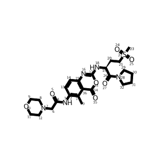 Cc1c(NC(=O)CN2CCOCC2)ccc2nc(N[C@@H](CCS(C)(=O)=O)C(=O)N3CCCC3)oc(=O)c12